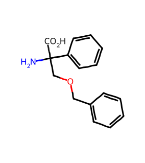 NC(COCc1ccccc1)(C(=O)O)c1ccccc1